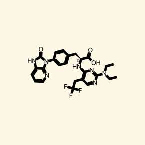 CCN(CC)c1ncc(CC(F)(F)F)c(N[C@@H](Cc2ccc(-n3c(=O)[nH]c4cccnc43)cc2)C(=O)O)n1